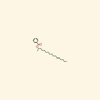 CCCCC=CCCCCCCCCC[C@@H](C)OC(=O)c1ccccc1